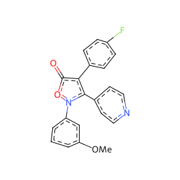 COc1cccc(-n2oc(=O)c(-c3ccc(F)cc3)c2-c2ccncc2)c1